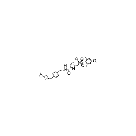 COc1cc(C)c(S(=O)(=O)N(Cc2nc(C(=O)NCCc3ccc(CN4CC(OC)C4)cc3)co2)C2CC2)c(C)c1